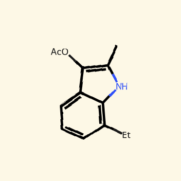 CCc1cccc2c(OC(C)=O)c(C)[nH]c12